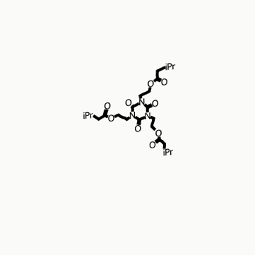 CC(C)CC(=O)OCCn1c(=O)n(CCOC(=O)CC(C)C)c(=O)n(CCOC(=O)CC(C)C)c1=O